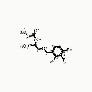 CC(C)(C)OC(=O)NC(COCc1ccc(F)c(F)c1F)C(=O)O